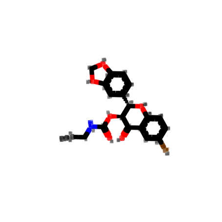 CCOC(=O)CNC(=O)O[C@@H]1C(=O)c2cc(Br)ccc2O[C@H]1c1ccc2c(c1)OCO2